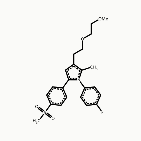 COCCOCCc1cc(-c2ccc(S(C)(=O)=O)cc2)n(-c2ccc(F)cc2)c1C